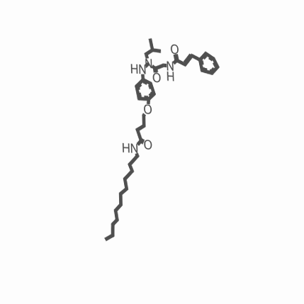 CCCCCCCCCCCCNC(=O)CCCOc1ccc(NN(CC(C)C)C(=O)CNC(=O)C=Cc2ccccc2)cc1